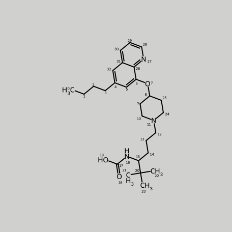 CCCCc1cc(OC2CCN(CCCC(NC(=O)O)C(C)(C)C)CC2)c2ncccc2c1